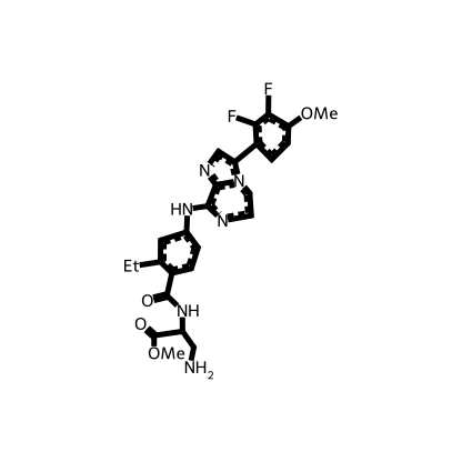 CCc1cc(Nc2nccn3c(-c4ccc(OC)c(F)c4F)cnc23)ccc1C(=O)NC(CN)C(=O)OC